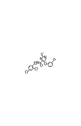 CSc1ncc(Oc2cccc(C3CC3)c2)c(C(=O)NCCc2ccc(Cl)cc2Cl)n1